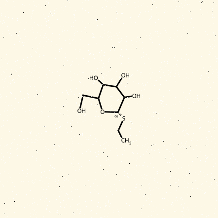 CCS[C@@H]1OC(CO)C(O)C(O)C1O